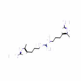 Cc1nc(N)sc1CCCNC(=N)NCCCc1sc(N)nc1C